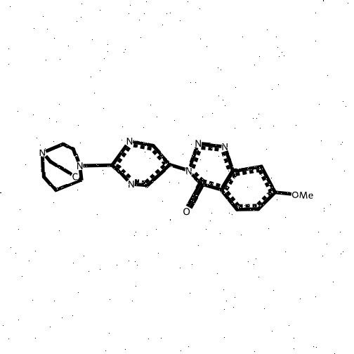 COc1ccc2c(=O)n(-c3cnc(N4CCN5CCC4CC5)nc3)nnc2c1